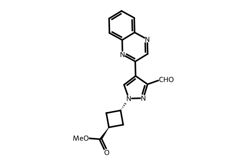 COC(=O)[C@H]1C[C@H](n2cc(-c3cnc4ccccc4n3)c(C=O)n2)C1